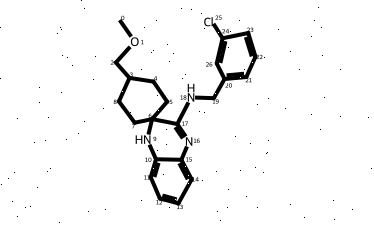 COCC1CCC2(CC1)Nc1ccccc1N=C2NCc1cccc(Cl)c1